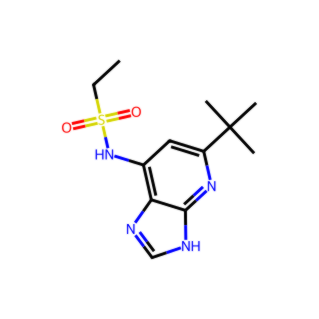 CCS(=O)(=O)Nc1cc(C(C)(C)C)nc2[nH]cnc12